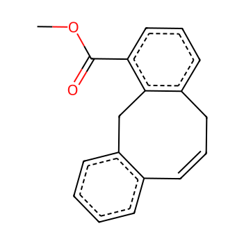 COC(=O)c1cccc2c1Cc1ccccc1C=CC2